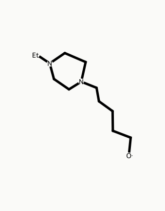 CCN1CCN(CCCCC[O])CC1